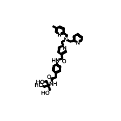 Cc1ccc(CN(Cc2ccccn2)Cc2ccc(C(=O)Nc3ccc(CC(=O)NC(CO)(CO)CO)cc3)cn2)nc1